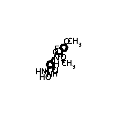 CCO[C@H](C(=O)NCc1ccc(C(=N)NO)c(Cl)c1)c1ccc(OC)cc1F